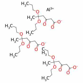 CCCOC(C)(CC(=O)CC(=O)[O-])OCCC.CCCOC(C)(CC(=O)CC(=O)[O-])OCCC.CCCOC(C)(CC(=O)CC(=O)[O-])OCCC.[Al+3]